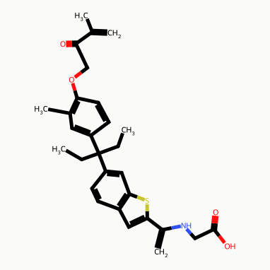 C=C(C)C(=O)COc1ccc(C(CC)(CC)c2ccc3cc(C(=C)NCC(=O)O)sc3c2)cc1C